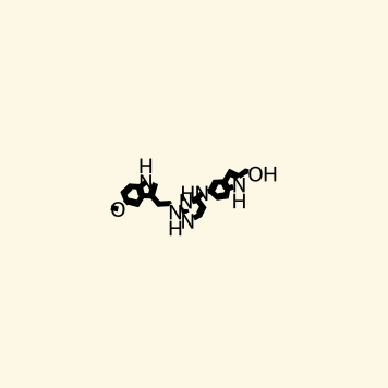 COc1ccc2[nH]cc(CCNc3nccc(Nc4ccc5[nH]c(CO)cc5c4)n3)c2c1